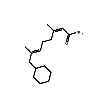 CC(=CCC/C(C)=C\C(N)=O)CC1CCCCC1